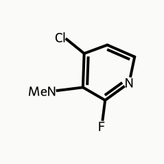 CNc1c(Cl)ccnc1F